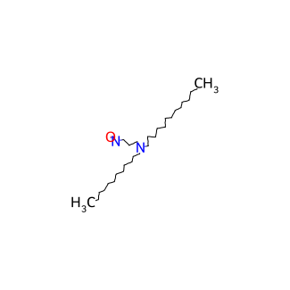 CCCCCCCCCCCCCCN(CCCCCCCCCCCC)CCCN=O